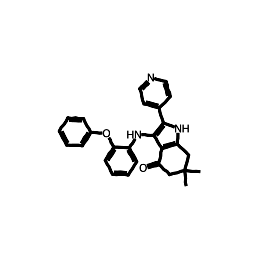 CC1(C)CC(=O)c2c([nH]c(-c3ccncc3)c2Nc2ccccc2Oc2ccccc2)C1